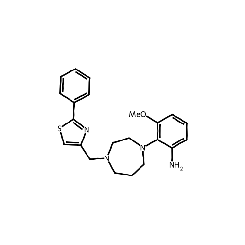 COc1cccc(N)c1N1CCCN(Cc2csc(-c3ccccc3)n2)CC1